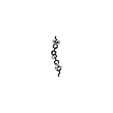 CCCc1cnc(N2CCC(C3Cc4cc(C5=CCN(S(=O)(=O)CCC)CC5)ccc4O3)CC2)nc1